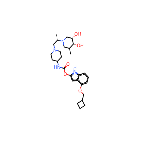 C[C@H]1CN([C@@H](C)CN2CCC(NC(=O)Oc3cc4c(OCC5CCC5)cccc4[nH]3)CC2)C[C@H](O)[C@@H]1O